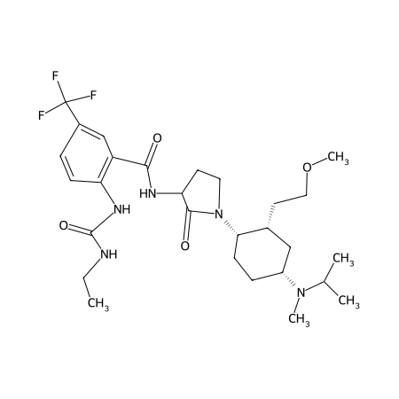 CCNC(=O)Nc1ccc(C(F)(F)F)cc1C(=O)NC1CCN([C@H]2CC[C@@H](N(C)C(C)C)C[C@H]2CCOC)C1=O